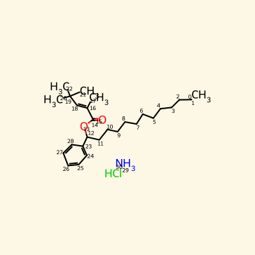 CCCCCCCCCCCCC(OC(=O)C(C)=CC(C)(C)C)c1ccccc1.Cl.N